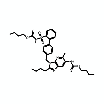 CCCCOC(=O)Nc1cc2nc(CCCC)n(Cc3ccc(-c4ccccc4S(=O)(=O)NC(=O)OCCCC)cc3)c2nc1C